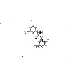 N#Cc1cccc(NC(=O)Cn2nc(Cl)ccc2=O)c1